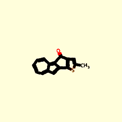 Cc1cc2c(s1)-c1cc3cccccc-3c1C2=O